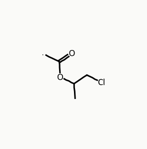 [CH2]C(=O)OC(C)CCl